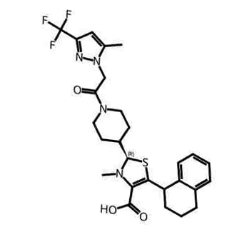 Cc1cc(C(F)(F)F)nn1CC(=O)N1CCC([C@H]2SC(C3CCCc4ccccc43)=C(C(=O)O)N2C)CC1